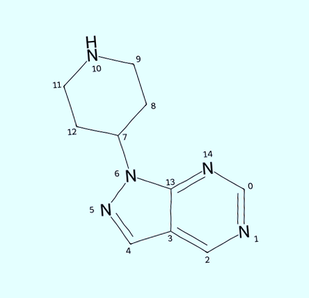 c1ncc2cnn(C3CCNCC3)c2n1